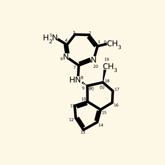 CC1=CCC(N)=NC(N[C@H]2c3ccccc3CC[C@@H]2C)=N1